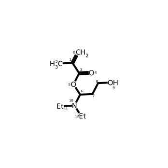 C=C(C)C(=O)OC(CCO)N(CC)CC